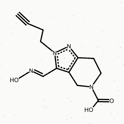 C#CCCn1nc2c(c1C=NO)CN(C(=O)O)CC2